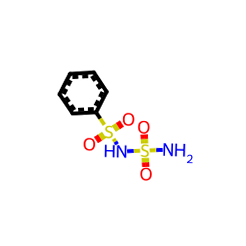 NS(=O)(=O)NS(=O)(=O)c1ccccc1